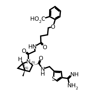 C[C@@]12C[C@@H]1N(C(=O)CNC(=O)CCCOc1ccccc1C(=O)O)[C@H](C(=O)NCc1cc(C(=N)N)cs1)C2